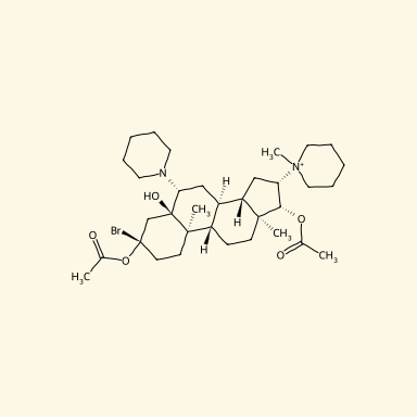 CC(=O)O[C@H]1[C@@H]([N+]2(C)CCCCC2)C[C@H]2[C@@H]3C[C@@H](N4CCCCC4)[C@@]4(O)C[C@@](Br)(OC(C)=O)CC[C@]4(C)[C@H]3CC[C@@]21C